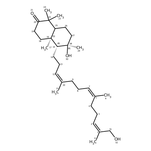 CC(=CCCC(C)=CCCC(C)=CCC[C@@H]1[C@@]2(C)CCC(=O)C(C)(C)C2CC[C@@]1(C)O)CO